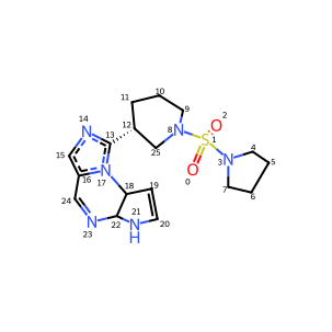 O=S(=O)(N1CCCC1)N1CCC[C@@H](c2ncc3n2C2C=CNC2N=C3)C1